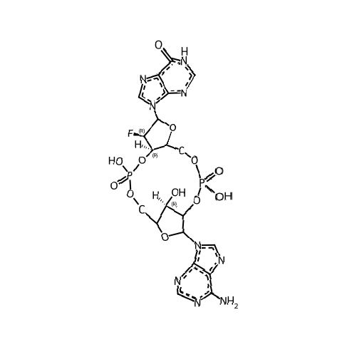 Nc1ncnc2c1ncn2C1OC2COP(=O)(O)O[C@@H]3C(COP(=O)(O)OC1[C@@H]2O)OC(n1cnc2c(=O)[nH]cnc21)[C@@H]3F